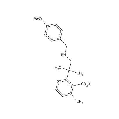 COc1ccc(CNCC(C)(C)c2nccc(C)c2C(=O)O)cc1